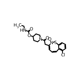 CCNC(=O)OC1CCN(C(=O)C/C2=C/C=C\c3c(Cl)cccc3S[N+]2=O)CC1